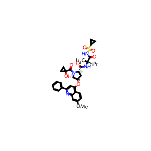 CCC[C@](C)(NC(=O)[C@@H]1C[C@@H](Oc2cc(-c3ccccc3)nc3cc(OC)ccc23)CN1C(=O)C1(O)CC1)C(=O)NS(=O)(=O)C1CC1